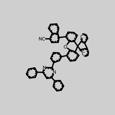 N#Cc1ccc(-c2cccc3c2Oc2c(-c4cccc(-c5nc(-c6ccccc6)cc(-c6ccccc6)n5)c4)cccc2C32c3ccccc3-c3ccccc32)c2ccccc12